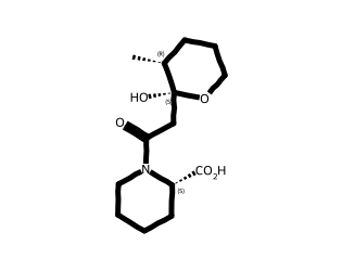 C[C@@H]1CCCO[C@@]1(O)CC(=O)N1CCCC[C@H]1C(=O)O